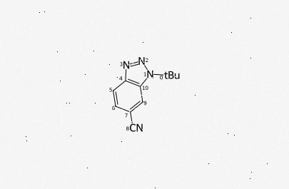 CC(C)(C)n1nnc2ccc(C#N)cc21